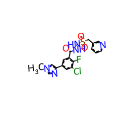 Cn1cnc(-c2cc(Cl)c(F)c(C(=O)NNS(=O)(=O)Cc3cccnc3)c2)c1